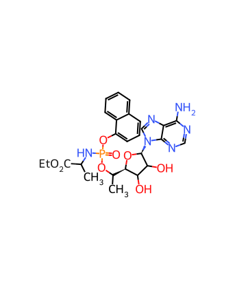 CCOC(=O)C(C)NP(=O)(Oc1cccc2ccccc12)OC(C)[C@H]1O[C@@H](n2cnc3c(N)ncnc32)C(O)C1O